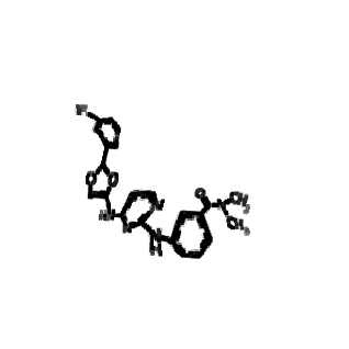 CN(C)C(=O)c1cccc(Nc2nccc(NC3=COC(c4cccc(F)c4)O3)n2)c1